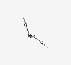 CCCCCOCCCCCCn1cc[n+](CCCCCCOCCCCC)c1